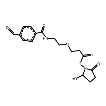 O=Cc1ccc(C(=O)NCCOCCC(=O)ON2C(=O)CCC2O)cc1